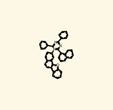 c1ccc(-c2nc(-c3ccccc3)[n+](-c3ccc4ccc5c6ccccc6oc5c4c3)c(-c3cccc4ccccc34)n2)cc1